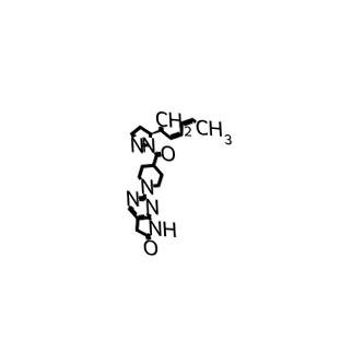 C=C(/C=C\C=C/C)[C@@H]1CC=NN1C(=O)C1CCN(c2ncc3c(n2)NC(=O)C3)CC1